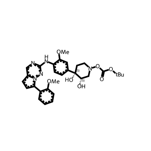 COc1cc([C@@]2(O)CCN(OC(=O)OC(C)(C)C)C[C@@H]2O)ccc1Nc1ncc2ccc(-c3ccccc3OC)n2n1